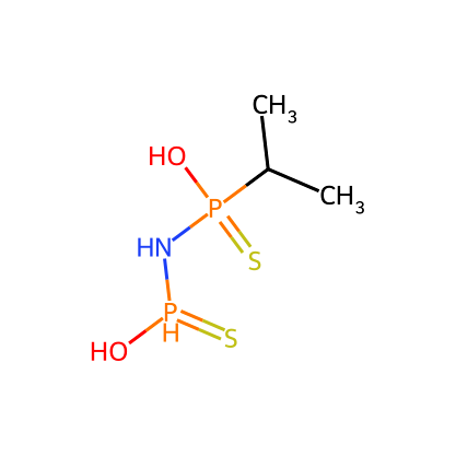 CC(C)P(O)(=S)N[PH](O)=S